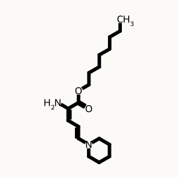 CCCCCCCCOC(=O)/C(N)=C\C=C\N1CCCCC1